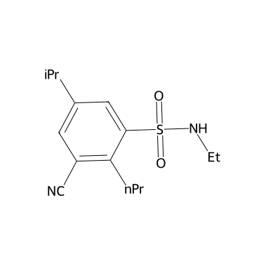 CCCc1c(C#N)cc(C(C)C)cc1S(=O)(=O)NCC